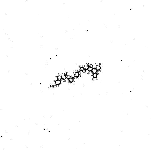 CC(C)(C)c1ccc2c(ccc3oc(=O)c(-c4cccc(-c5cnc(C6CC=C(c7cc8c9ccccc9c9ccccc9c8oc7=O)O6)cn5)n4)cc32)c1